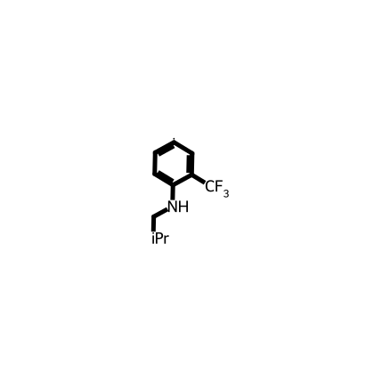 CC(C)CNc1cc[c]cc1C(F)(F)F